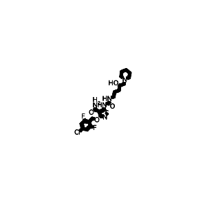 NC(=O)c1c(OCc2c(F)cc(Cl)cc2F)nsc1NC(=O)NCCCC(O)CN1CCCCC1